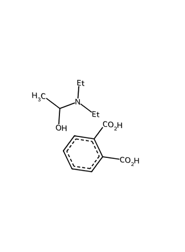 CCN(CC)C(C)O.O=C(O)c1ccccc1C(=O)O